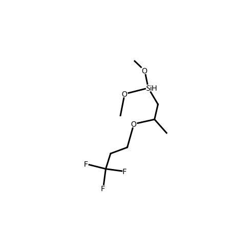 CO[SiH](CC(C)OCCC(F)(F)F)OC